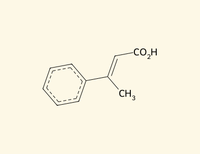 CC(=CC(=O)O)c1ccccc1